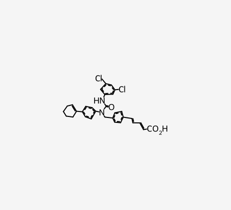 O=C(O)/C=C/C=C/c1ccc(CN(C(=O)Nc2cc(Cl)cc(Cl)c2)c2ccc(C3=CCCCC3)cc2)cc1